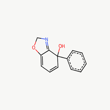 OC1(c2ccccc2)C=CC=C2OCN=C21